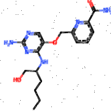 CCCCC(CO)Nc1nc(N)ncc1OCc1cccc(C(N)=O)n1